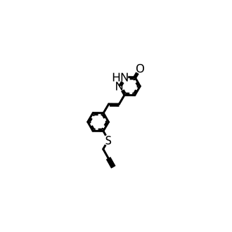 C#CCSc1cccc(/C=C/c2ccc(=O)[nH]n2)c1